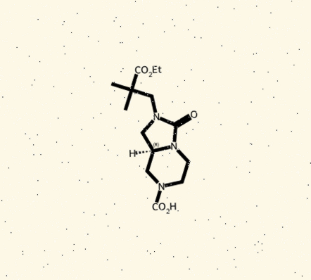 CCOC(=O)C(C)(C)CN1C[C@@H]2CN(C(=O)O)CCN2C1=O